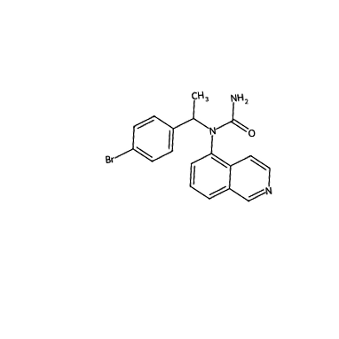 CC(c1ccc(Br)cc1)N(C(N)=O)c1cccc2cnccc12